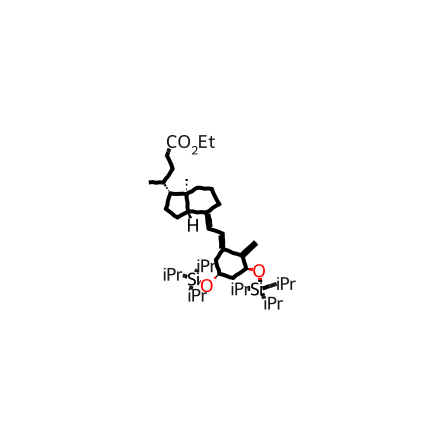 C=C1/C(=C/C=C2CCC[C@]3(C)[C@@H](C(C)CCC(=O)OCC)CC[C@@H]23)C[C@@H](O[Si](C(C)C)(C(C)C)C(C)C)C[C@@H]1O[Si](C(C)C)(C(C)C)C(C)C